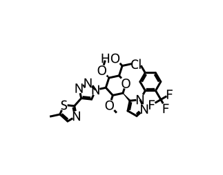 COC1C(n2cc(-c3ncc(C)s3)nn2)[C@@H](OC)C(C(C)O)O[C@H]1c1ccnn1-c1cc(Cl)ccc1C(F)(F)F